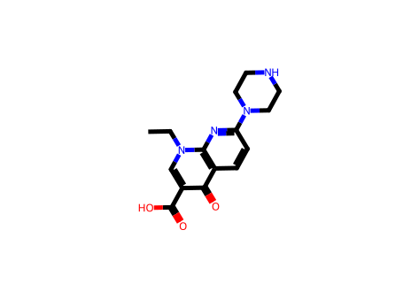 CCn1cc(C(=O)O)c(=O)c2ccc(N3CCNCC3)nc21